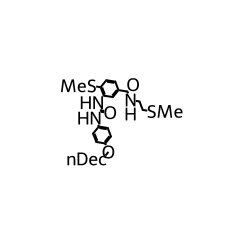 CCCCCCCCCCOc1ccc(NC(=O)Nc2cc(C(=O)NCCSC)ccc2SC)cc1